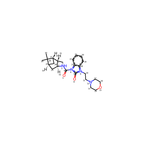 C[C@@H]1[C@@H](NC(=O)n2c(=O)n(CCN3CCOCC3)c3ccccc32)C[C@@H]2C[C@@H]1C2(C)C